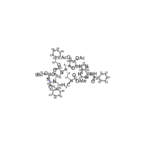 COC(=O)[C@@H](C)CC[C@@H](C[C@H]1O[C@@H](n2cnc3c(NC(=O)c4ccccc4)ncnc32)C(OC(C)=O)[C@H]1OC(C)=O)N(CCN(Cc1ccccc1)/C(C)=N\C(=O)OC(C)(C)C)C(=O)OCc1ccccc1